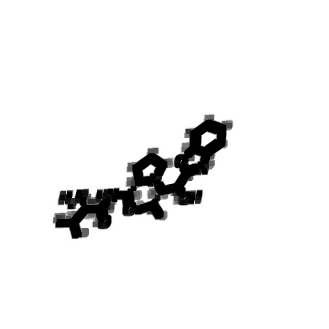 CC(C)[C@@H](C(O)c1nc2ccccc2o1)N1CCC[C@H]1C(=O)NC(=O)[C@@H](N)C(C)C